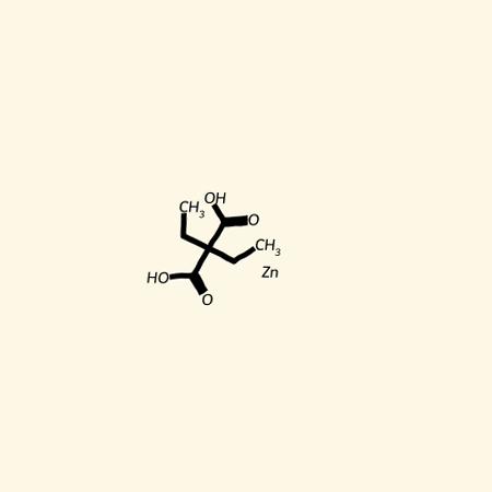 CCC(CC)(C(=O)O)C(=O)O.[Zn]